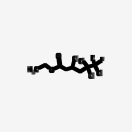 CCOC(=O)CC(Cl)CC(Cl)(Cl)C(F)(F)Cl